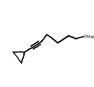 CSCCCCC#CC1[CH]C1